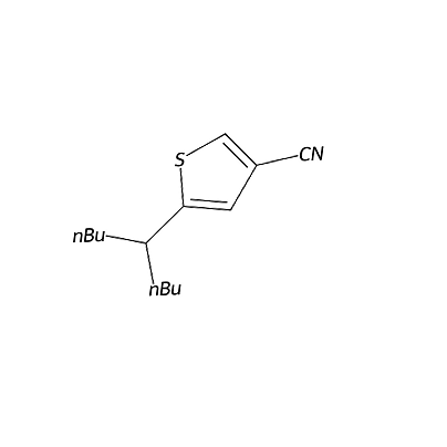 CCCCC(CCCC)c1cc(C#N)cs1